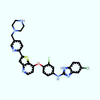 Fc1cc(Nc2nc3cc(Cl)ccc3[nH]2)ccc1Oc1ccnc2cc(-c3ccc(CN4CCNCC4)cn3)sc12